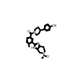 Cc1ccc(C(=O)N2CCC(c3ccc(C#N)cc3)CC2)cc1-c1nc2c([nH]1)CN([S+](C)[O-])CC2